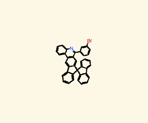 Brc1cccc(-c2nc3ccccc3c3cc4c(cc23)C2(c3ccccc3-c3ccccc32)c2ccccc2-4)c1